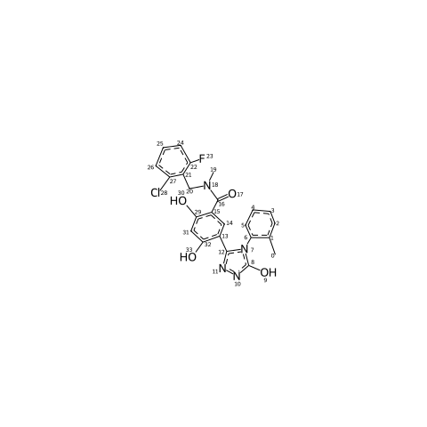 Cc1ccccc1-n1c(O)nnc1-c1cc(C(=O)N(C)Cc2c(F)cccc2Cl)c(O)cc1O